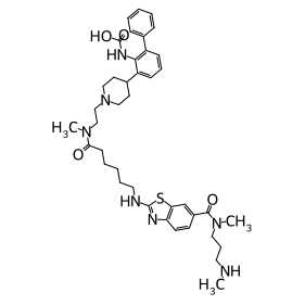 CNCCCN(C)C(=O)c1ccc2nc(NCCCCCC(=O)N(C)CCN3CCC(c4cccc(-c5ccccc5)c4NC(=O)O)CC3)sc2c1